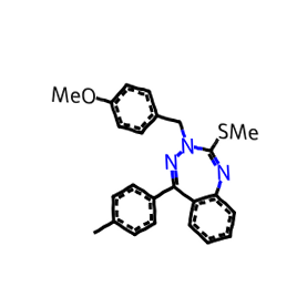 COc1ccc(CN2N=C(c3ccc(C)cc3)c3ccccc3N=C2SC)cc1